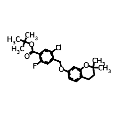 CC(C)(C)OC(=O)c1cc(Cl)c(COc2ccc3c(c2)OC(C)(C)CC3)cc1F